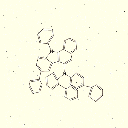 c1ccc(-c2ccc(N(c3ccccc3-c3ccccc3)c3cc4ccccc4c4c3c3cc(-c5ccccc5)ccc3n4-c3ccccc3)cc2)cc1